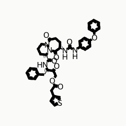 O=C(Nc1ccc(Oc2ccccc2)cc1)N[C@H]1CCC(=O)N2CCC[C@@H](C(=O)N[C@@H](Cc3ccccc3)C(=O)COC(=O)Cc3ccsc3)N2C1=O